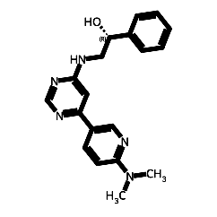 CN(C)c1ccc(-c2cc(NC[C@H](O)c3ccccc3)ncn2)cn1